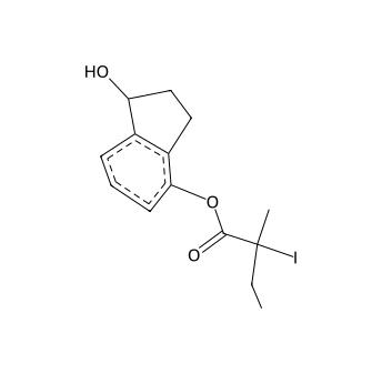 CCC(C)(I)C(=O)Oc1cccc2c1CCC2O